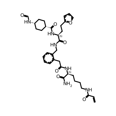 C=CC(=O)NCCCC[C@H](NC(=O)Cc1ccccc1CNC(=O)[C@H](CCc1ccco1)NC(=O)[C@H]1CC[C@@H](NC=O)CC1)C(N)=O